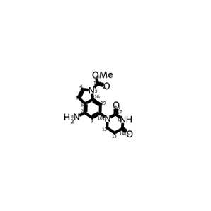 COC(=O)n1ccc2c(N)cc(N3CCC(=O)NC3=O)cc21